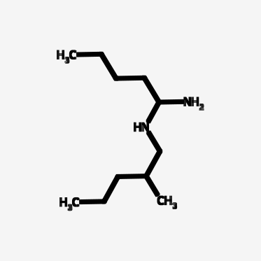 CCCCC(N)NCC(C)CCC